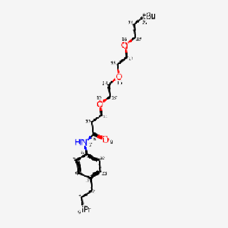 CC(C)CCc1ccc(NC(=O)CCOCCOCCOCCC(C)(C)C)cc1